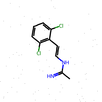 CC(=N)N/C=C/c1c(Cl)cccc1Cl